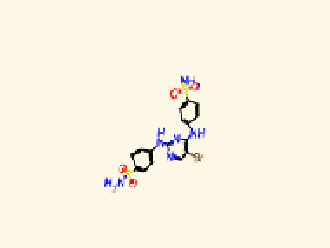 NS(=O)(=O)c1ccc(Nc2ncc(Br)c(Nc3ccc(S(N)(=O)=O)cc3)n2)cc1